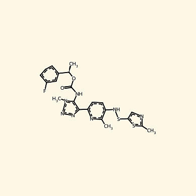 Cc1ncc(SNc2ccc(-c3nnn(C)c3NC(=O)O[C@H](C)c3cccc(F)c3)nc2C)s1